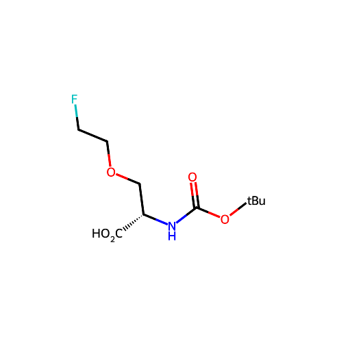 CC(C)(C)OC(=O)N[C@@H](COCCF)C(=O)O